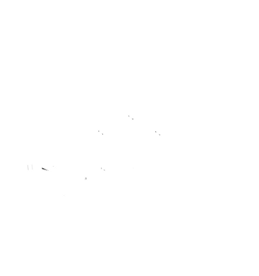 [CH2][C@H]1C[C@@H](n2ccc3c(NCc4cccc5ccccc45)ncnc32)C[C@@H]1O